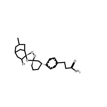 CCC1CC2CC(C)CC(C2)[C@@]12OO[C@@]1(CCC[C@@H](c3ccc(CCC(N)=O)cc3)C1)O2